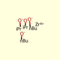 CC(C)[O-].CC(C)[O-].CCCC[O-].CCCC[O-].[Zr+4]